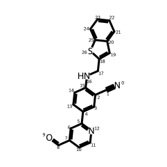 N#Cc1cc(-c2cc(C=O)ccn2)ccc1NCc1cc2ccccc2s1